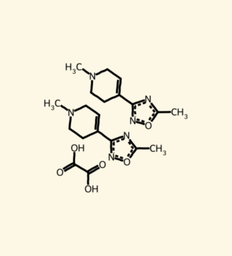 Cc1nc(C2=CCN(C)CC2)no1.Cc1nc(C2=CCN(C)CC2)no1.O=C(O)C(=O)O